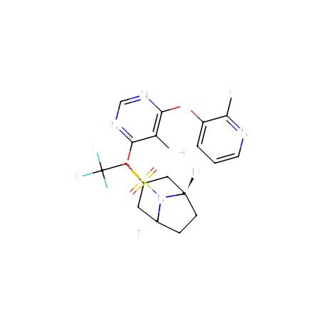 Cc1ncccc1Oc1ncnc(OC2C[C@@H]3CC[C@@H](C2)N3S(=O)(=O)CC(F)(F)F)c1C